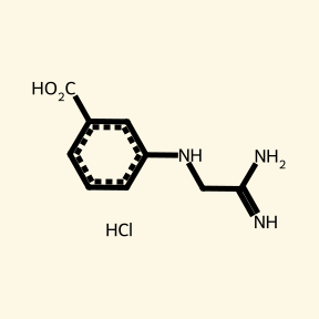 Cl.N=C(N)CNc1cccc(C(=O)O)c1